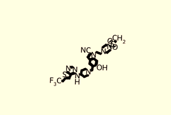 C=CS(=O)(=O)N1CCN(CCn2c(C#N)cc3cc(CN4CCC(Nc5ncnc6sc(CC(F)(F)F)cc56)CC4)c(O)cc32)CC1